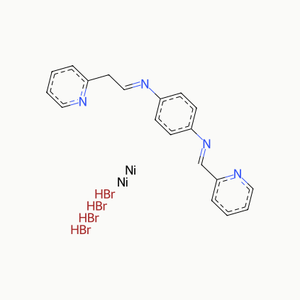 Br.Br.Br.Br.C(Cc1ccccn1)=Nc1ccc(N=Cc2ccccn2)cc1.[Ni].[Ni]